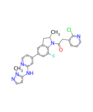 CC1Cc2cc(-c3ccnc(Nc4ccnn4C)c3)cc(F)c2N1C(=O)Cc1cccnc1Cl